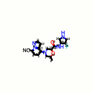 CC1CN(c2ccc(C#N)n3nccc23)CC(C(=O)N[C@H]2CNC[C@H]2F)O1